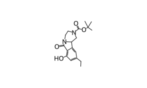 CCc1cc(O)c2c(c1)C1CN(C(=O)OC(C)(C)C)CCN1C2=O